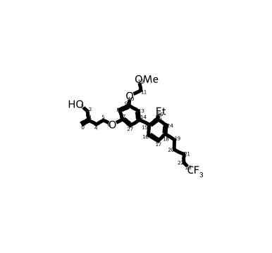 C=C(CO)CCOc1cc(OCOC)cc(-c2ccc(CCCCC(F)(F)F)cc2CC)c1